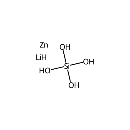 O[Si](O)(O)O.[LiH].[Zn]